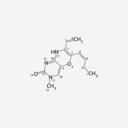 C=CC1=C(/C=C\CC)Oc2cn(C)c(=O)nc2N1